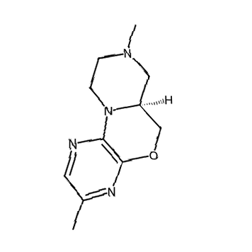 Cc1cnc2c(n1)OC[C@@H]1CN(C)CCN21